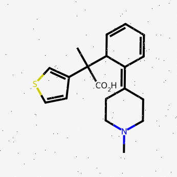 CN1CCC(=C2C=CC=CC2C(C)(C(=O)O)c2ccsc2)CC1